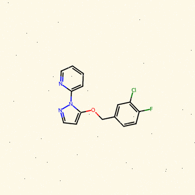 Fc1ccc(COc2ccnn2-c2ccccn2)cc1Cl